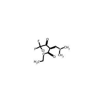 CCOC(=O)/C(=C\N(C)C)C(=O)C(F)(F)Cl